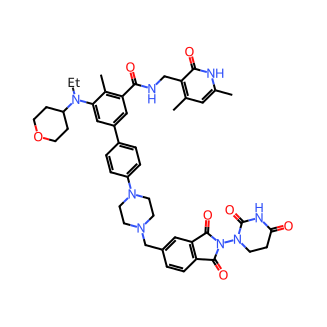 CCN(c1cc(-c2ccc(N3CCN(Cc4ccc5c(c4)C(=O)N(N4CCC(=O)NC4=O)C5=O)CC3)cc2)cc(C(=O)NCc2c(C)cc(C)[nH]c2=O)c1C)C1CCOCC1